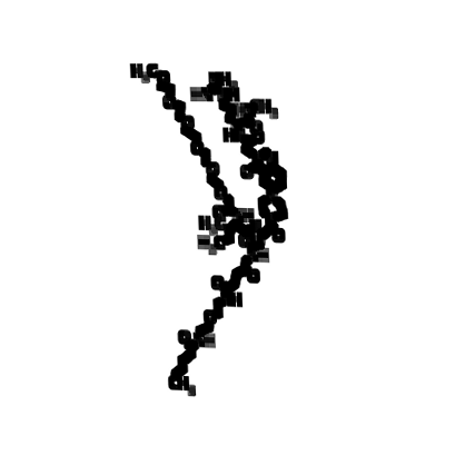 CCCCCC(=O)NCCOCCNC(=O)CCC(=O)CNCC[C@H](NC(=O)[C@@H](NC(=O)COCCOCCOCCOCCOCCOC)[C@@H](C)CC)C(=O)N1CCN(c2ccc3ncn(CC(=O)N[C@@H](CCCNC(=N)N)C(=O)NC)c(=O)c3c2)CC1